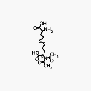 CC(=O)N(C(C)=O)[C@@H](CCSSCCC(N)C(=O)O)C(=O)O